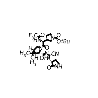 CC(C)(C)OC(=O)N1CC[C@H]([C@H](NC(=O)C(F)(F)F)C(=O)N2C[C@H]3[C@@H]([C@H]2C(=O)N[C@H](C#N)C[C@@H]2CCNC2=O)C3(C)C)C1